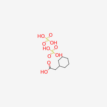 O=C(O)CC1CCCCC1.O=S(=O)(O)O.O=S(=O)(O)O